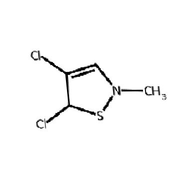 CN1C=C(Cl)C(Cl)S1